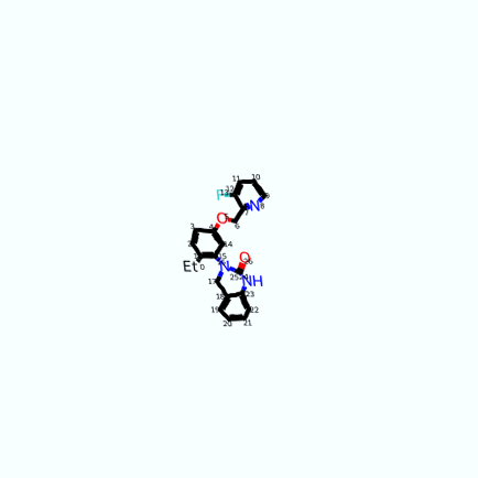 CCc1ccc(OCc2ncccc2F)cc1N1Cc2ccccc2NC1=O